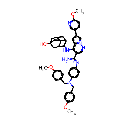 COc1ccc(CN(Cc2ccc(OC)cc2)c2ccc(/N=C(\N)c3cnn4cc(-c5ccc(OC)nc5)cc4c3NC3C4CC5CC3CC(O)(C5)C4)cc2)cc1